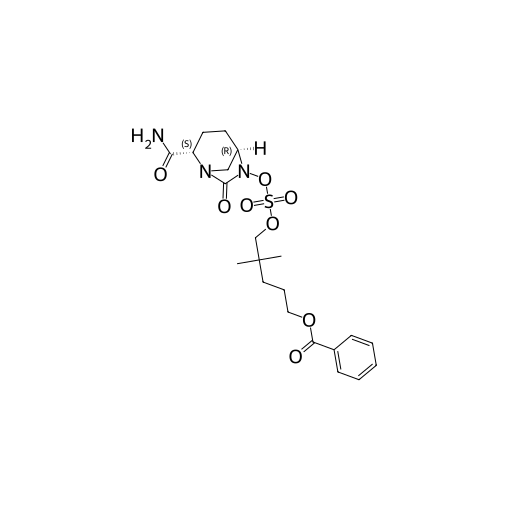 CC(C)(CCCOC(=O)c1ccccc1)COS(=O)(=O)ON1C(=O)N2C[C@H]1CC[C@H]2C(N)=O